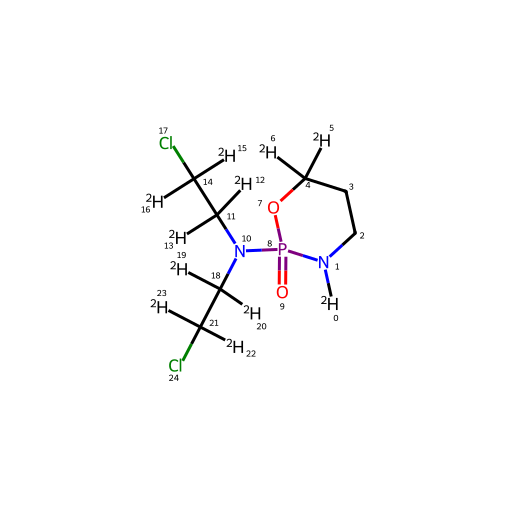 [2H]N1CCC([2H])([2H])OP1(=O)N(C([2H])([2H])C([2H])([2H])Cl)C([2H])([2H])C([2H])([2H])Cl